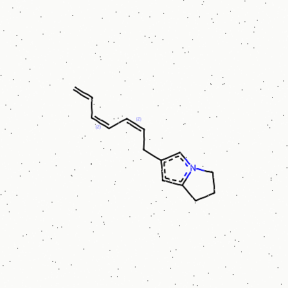 C=C/C=C\C=C/Cc1cc2n(c1)CCC2